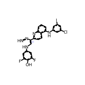 N=N/C(=C\Nc1cc(F)c(O)c(F)c1)c1ccc2c(Nc3cc(Cl)cc(I)c3)cccc2n1